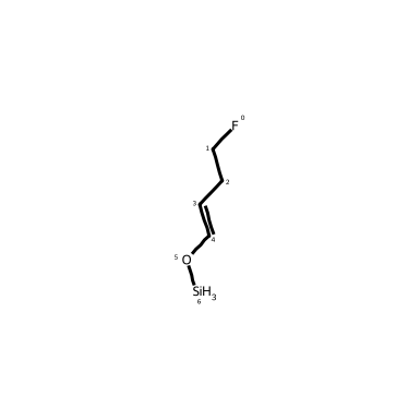 FCCC=CO[SiH3]